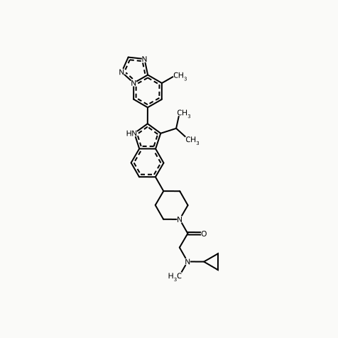 Cc1cc(-c2[nH]c3ccc(C4CCN(C(=O)CN(C)C5CC5)CC4)cc3c2C(C)C)cn2ncnc12